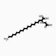 CCCCCCCCCCCCCCCCCCC(NCC(=O)O)C(O)O